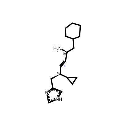 N[C@H](/C=C/[C@H](Cc1c[nH]cn1)C1CC1)CC1CCCCC1